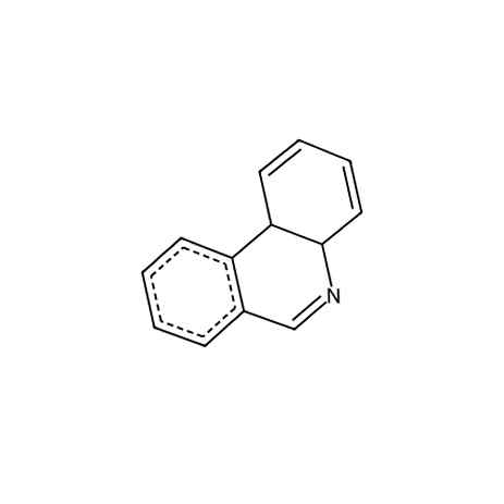 C1=CC2N=Cc3ccccc3C2C=C1